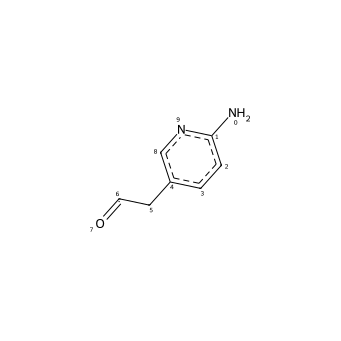 Nc1ccc(C[C]=O)cn1